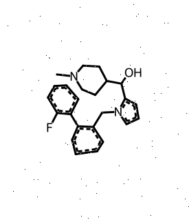 CN1CCC(C(O)c2cccn2Cc2ccccc2-c2ccccc2F)CC1